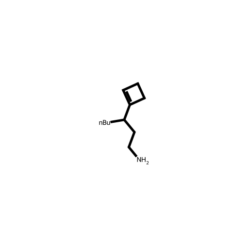 CCCCC(CCN)C1=CCC1